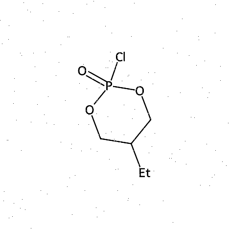 CCC1COP(=O)(Cl)OC1